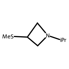 CSC1CN(C(C)C)C1